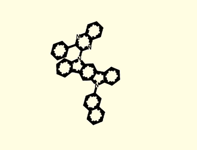 c1ccc(-c2nc3ccccc3nc2-n2c3ccccc3c3cc4c(cc32)c2ccccc2n4-c2ccc3ccccc3c2)cc1